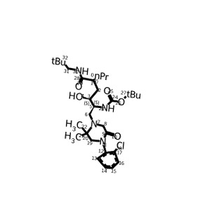 CCC[C@H](C[C@H](O)[C@H](CN1CC(=O)N(c2ccccc2Cl)CC1(C)C)NC(=O)OC(C)(C)C)C(=O)NCC(C)(C)C